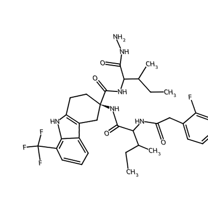 CCC(C)C(NC(=O)Cc1ccccc1F)C(=O)N[C@]1(C(=O)NC(C(=O)NN)C(C)CC)CCc2[nH]c3c(C(F)(F)F)cccc3c2C1